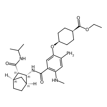 CCOC(=O)[C@H]1CC[C@@H](Oc2cc(C(=O)N[C@@H]3[C@H]4CC[C@H](C4)[C@@H]3C(=O)NC(C)C)c(NC)cc2P)CC1